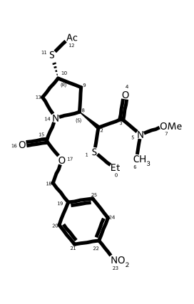 CCSC(C(=O)N(C)OC)[C@@H]1C[C@@H](SC(C)=O)CN1C(=O)OCc1ccc([N+](=O)[O-])cc1